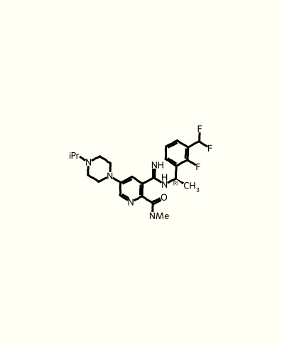 CNC(=O)c1ncc(N2CCN(C(C)C)CC2)cc1C(=N)N[C@H](C)c1cccc(C(F)F)c1F